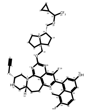 C#CC[C@@H]1CN2c3nc(OC[C@@]45CCCN4[C@H](COC(C4CC4)C(F)(F)F)CC5)nc4c(F)c(-c5cc(O)cc6ccc(F)c(C)c56)nc(c34)CC[C@@H]2CN1